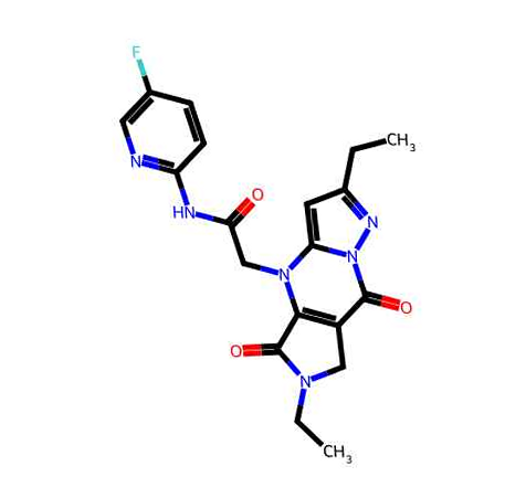 CCc1cc2n(CC(=O)Nc3ccc(F)cn3)c3c(c(=O)n2n1)CN(CC)C3=O